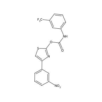 O=C(Nc1cccc(C(F)(F)F)c1)Oc1nc(-c2cccc([N+](=O)[O-])c2)cs1